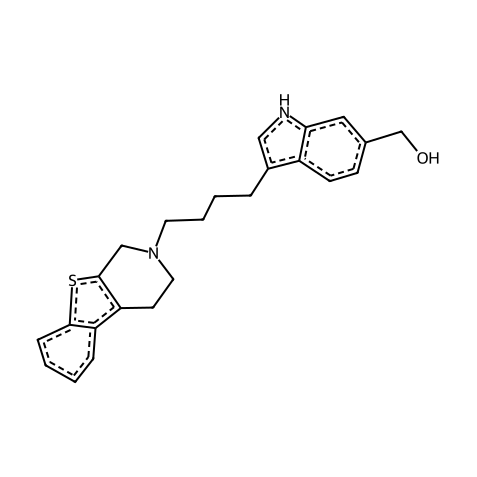 OCc1ccc2c(CCCCN3CCc4c(sc5ccccc45)C3)c[nH]c2c1